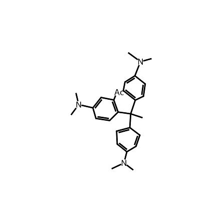 CC(=O)c1cc(N(C)C)ccc1C(C)(c1ccc(N(C)C)cc1)c1ccc(N(C)C)cc1